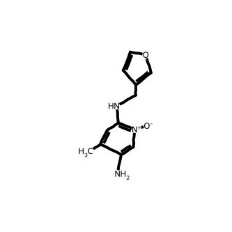 Cc1cc(NCc2ccoc2)[n+]([O-])cc1N